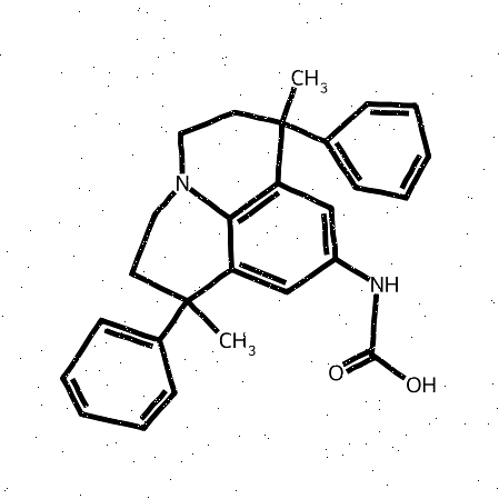 CC1(c2ccccc2)CCN2CCC(C)(c3ccccc3)c3cc(NC(=O)O)cc1c32